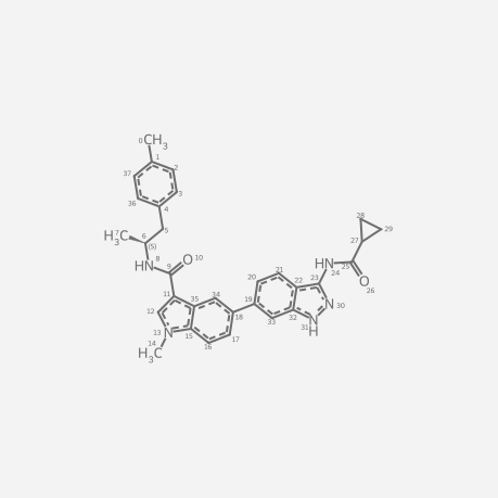 Cc1ccc(C[C@H](C)NC(=O)c2cn(C)c3ccc(-c4ccc5c(NC(=O)C6CC6)n[nH]c5c4)cc23)cc1